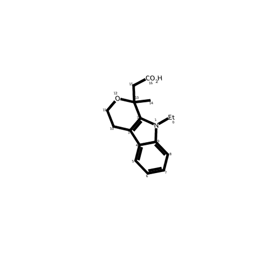 CCn1c2c(c3ccccc31)CCOC2(C)CC(=O)O